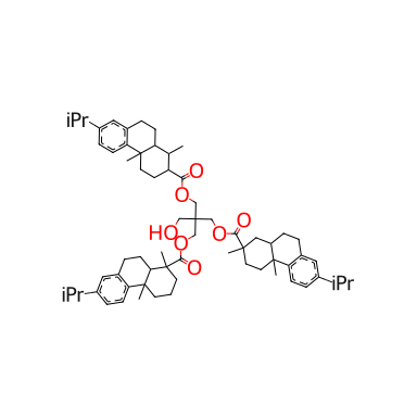 CC(C)c1ccc2c(c1)CCC1CC(C)(C(=O)OCC(CO)(COC(=O)C3CCC4(C)c5ccc(C(C)C)cc5CCC4C3C)COC(=O)C3(C)CCCC4(C)c5ccc(C(C)C)cc5CCC34)CCC21C